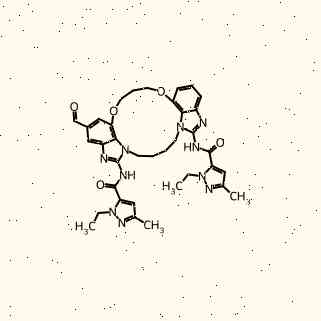 CCn1nc(C)cc1C(=O)Nc1nc2cccc3c2n1CCCCn1c(NC(=O)c2cc(C)nn2CC)nc2cc(C=O)cc(c21)OCCCO3